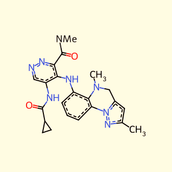 CNC(=O)c1nncc(NC(=O)C2CC2)c1Nc1cccc2c1N(C)Cc1cc(C)nn1-2